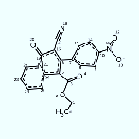 CCOC(=O)c1c(-c2ccc([N+](=O)[O-])cc2)c(C#N)c(=O)n2ccccc12